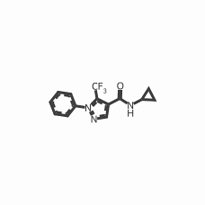 O=C(NC1CC1)c1cnn(-c2ccccc2)c1C(F)(F)F